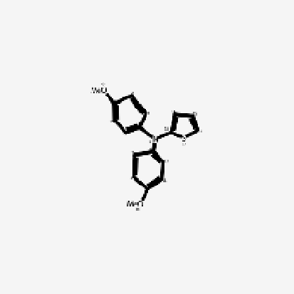 COc1ccc(N(c2ccc(OC)cc2)c2cccs2)cc1